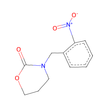 O=C1OCCCN1Cc1ccccc1[N+](=O)[O-]